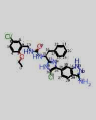 CCOc1ccc(Cl)cc1CNC(=O)N[C@@H](Cc1ccccc1)c1nc(-c2ccc3c(N)n[nH]c3c2)c(Cl)[nH]1